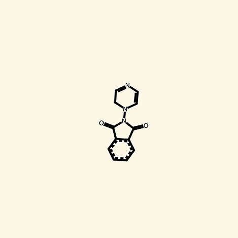 O=C1c2ccccc2C(=O)N1N1C=CN=CC1